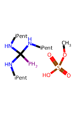 CCCC(C)NC(P)(NC(C)CCC)NC(C)CCC.COS(=O)(=O)O